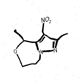 Cc1nn2c(c1[N+](=O)[O-])C(C)OCC2